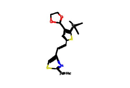 CC(=O)Nc1nc(C=Cc2cc(C3OCCO3)c([Si](C)(C)C)s2)cs1